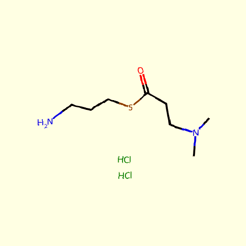 CN(C)CCC(=O)SCCCN.Cl.Cl